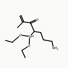 C=C(C)C(=O)C(CCCN)[SiH](OCC)OCC